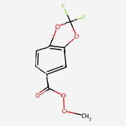 COOC(=O)c1ccc2c(c1)OC(F)(F)O2